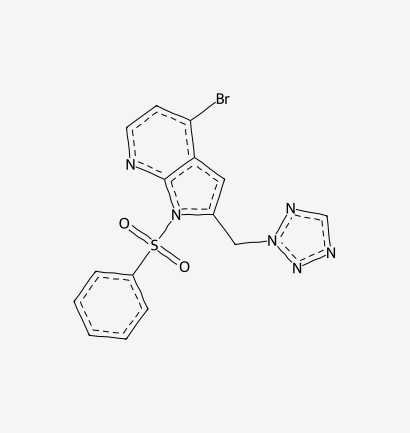 O=S(=O)(c1ccccc1)n1c(Cn2ncnn2)cc2c(Br)ccnc21